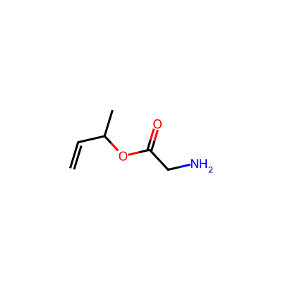 C=CC(C)OC(=O)CN